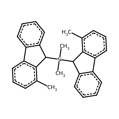 Cc1cccc2c1C([Si](C)(C)C1c3ccccc3-c3cccc(C)c31)c1ccccc1-2